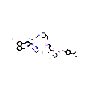 CCc1cccc2cc(O)cc(-c3ncc4c(N5CC6CCC(C5)N6)nc(OCCN5CCC(C)(CCOc6cc([C@H](C(=O)N7CCC[C@H]7C(=O)N[C@@H](C)c7ccc(-c8scnc8C)cc7)C(C)C)on6)CC5)nc4c3F)c12